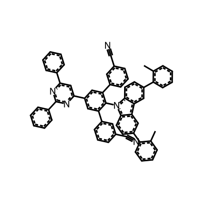 Cc1ccccc1-c1ccc2c(c1)c1cc(-c3ccccc3C)ccc1n2-c1c(-c2cccc(C#N)c2)cc(-c2cc(-c3ccccc3)nc(-c3ccccc3)n2)cc1-c1cccc(C#N)c1